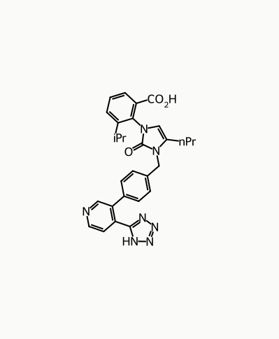 CCCc1cn(-c2c(C(=O)O)cccc2C(C)C)c(=O)n1Cc1ccc(-c2cnccc2-c2nnn[nH]2)cc1